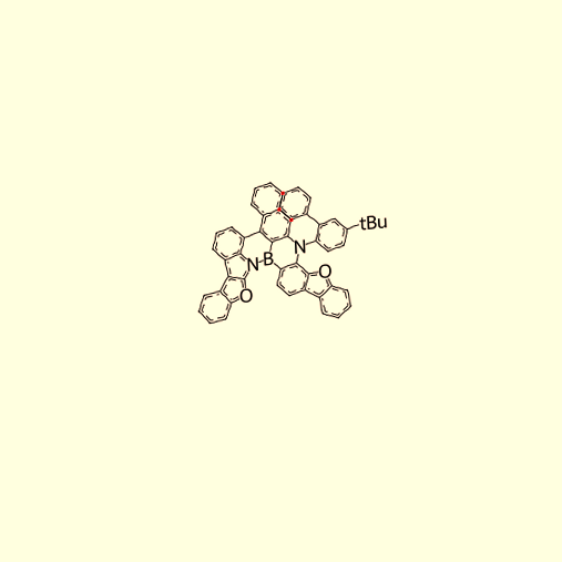 CC(C)(C)c1ccc(N2c3cc4ccccc4c4c3B(c3ccc5c(oc6ccccc65)c32)n2c3oc5ccccc5c3c3cccc-4c32)c(-c2ccccc2)c1